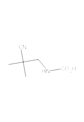 CC(C)(C#N)CNC(=O)O